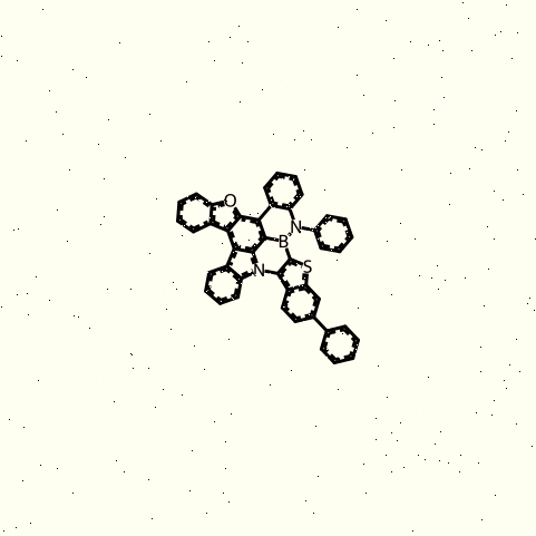 c1ccc(-c2ccc3c4c(sc3c2)B2c3c(c5oc6ccccc6c5c5c6ccccc6n-4c35)-c3ccccc3N2c2ccccc2)cc1